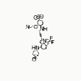 CN(C)CCOc1cc(S(C)(=O)=O)ccc1NCC#Cc1cc2c(NC3CC[S+]([O-])CC3)cccc2n1CC(F)(F)F